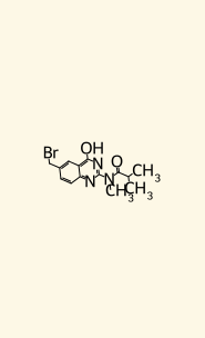 CC(C)C(=O)N(C)c1nc(O)c2cc(CBr)ccc2n1